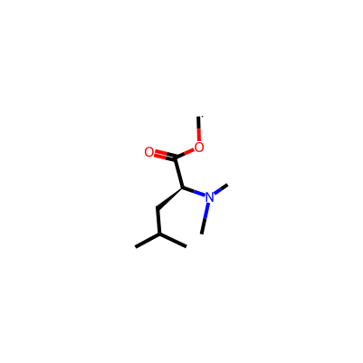 [CH2]OC(=O)[C@H](CC(C)C)N(C)C